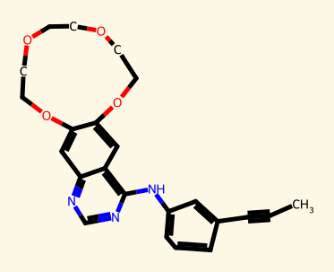 CC#Cc1cccc(Nc2ncnc3cc4c(cc23)OCCOCCOCCO4)c1